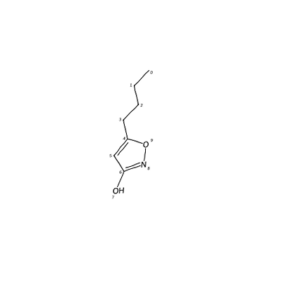 CCCCc1cc(O)no1